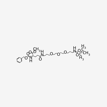 COC(=O)C(CCC(=O)NCCCOCCOCCOCCCNC(=O)OC(C)(C)C)NC(=O)OCc1ccccc1